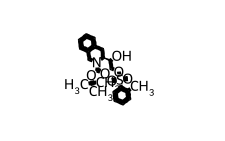 Cc1ccccc1S(=O)(=O)OCC(O)[C@@H]1Cc2ccccc2CN1C(=O)OC(C)(C)C